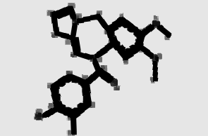 COc1cc2c(cc1OC)N(C(=O)c1ccc(Br)c(C)c1)C=C1CC=CN1C2